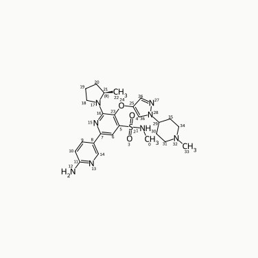 CNS(=O)(=O)c1cc(-c2ccc(N)nc2)nc(N2CCC[C@H]2C)c1Oc1cnn(C2CCN(C)CC2)c1